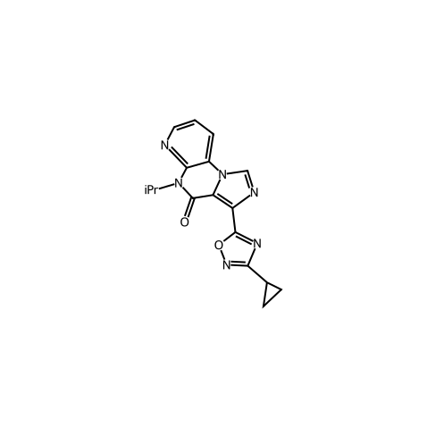 CC(C)n1c(=O)c2c(-c3nc(C4CC4)no3)ncn2c2cccnc21